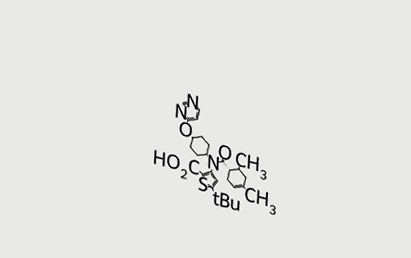 CC1=CC[C@H](C(=O)N(c2cc(C(C)(C)C)sc2C(=O)O)[C@H]2CC[C@H](Oc3ccncn3)CC2)[C@@H](C)C1